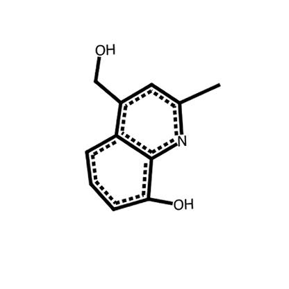 Cc1cc(CO)c2cccc(O)c2n1